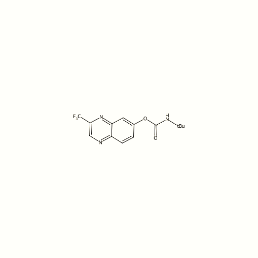 CC(C)(C)NC(=O)Oc1ccc2ncc(C(F)(F)F)nc2c1